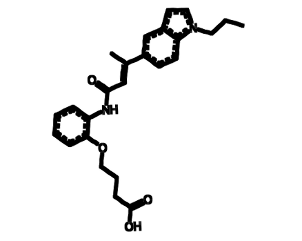 CCCn1ccc2cc(C(C)=CC(=O)Nc3ccccc3OCCCC(=O)O)ccc21